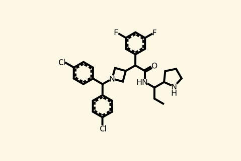 CCC(NC(=O)C(c1cc(F)cc(F)c1)C1CN(C(c2ccc(Cl)cc2)c2ccc(Cl)cc2)C1)C1CCCN1